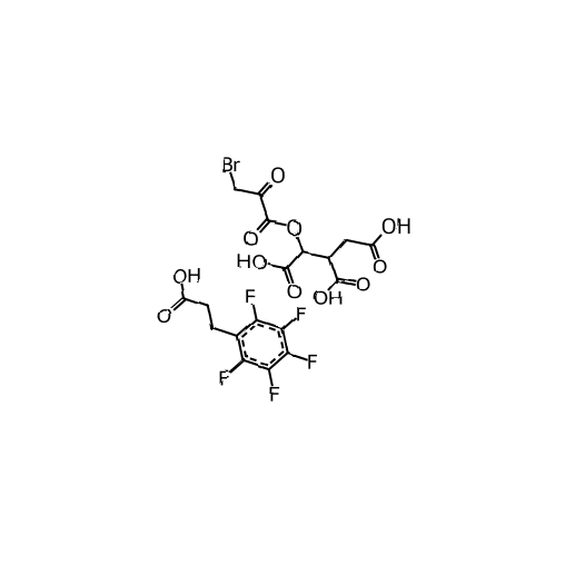 O=C(O)CC(C(=O)O)C(OC(=O)C(=O)CBr)C(=O)O.O=C(O)CCc1c(F)c(F)c(F)c(F)c1F